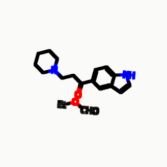 CCOC=O.O=C(CCN1CCCCC1)c1ccc2[nH]ccc2c1